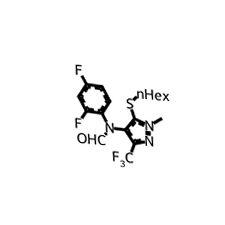 CCCCCCSc1c(N(C=O)c2ccc(F)cc2F)c(C(F)(F)F)nn1C